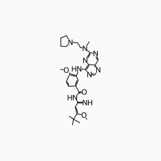 CO/C(=C\C(=N)NC(=O)c1ccc(OC)c(Nc2ncnc3cnc(N(C)CCN4CCCC4)nc23)c1)C(C)(C)C